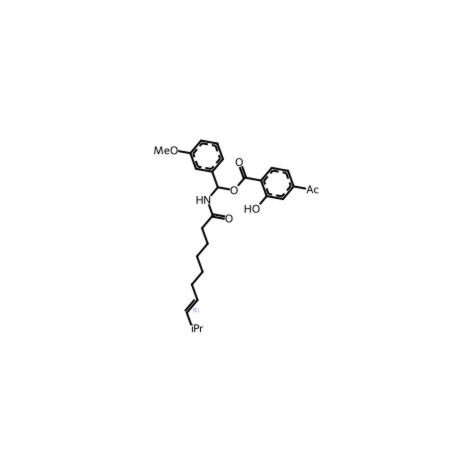 COc1cccc(C(NC(=O)CCCCC/C=C/C(C)C)OC(=O)c2ccc(C(C)=O)cc2O)c1